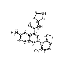 Cc1cccc(Cl)c1-c1cc(C(=O)N[C@H]2CCNC2)c2cc(N)ncc2c1